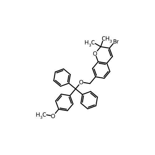 COc1ccc(C(OCc2ccc3c(c2)OC(C)(C)C(Br)=C3)(c2ccccc2)c2ccccc2)cc1